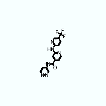 O=C(Nc1ccnnc1)c1ccnc(Nc2ccc(C(F)(F)F)cn2)c1